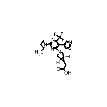 CC1CCN1c1nc(N2C[C@@H]3C(CC(=O)O)[C@@H]3C2)c(-c2cnsc2)c(C(F)(F)F)n1